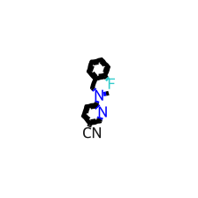 CN(Cc1ccccc1F)c1ccc(C#N)cn1